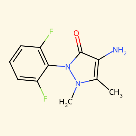 Cc1c(N)c(=O)n(-c2c(F)cccc2F)n1C